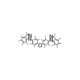 Cc1c(C)c(-n2nc(C)c3c(C)c(C)c(C)c(C)c32)c(C)c(C)c1Oc1c(C)c(C)c(-n2nc(C)c3c(C)c(C)c(C)c(C)c32)c(C)c1C